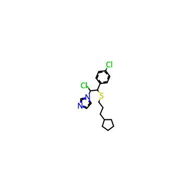 Clc1ccc(C(SCCCC2CCCC2)C(Cl)n2ccnc2)cc1